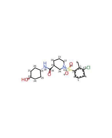 Cc1c(Cl)cccc1S(=O)(=O)N1CCC[C@H](C(=O)N[C@H]2CC[C@H](O)CC2)C1